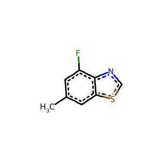 Cc1cc(F)c2ncsc2c1